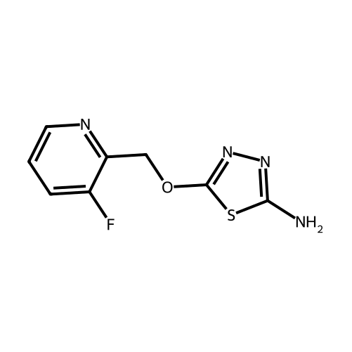 Nc1nnc(OCc2ncccc2F)s1